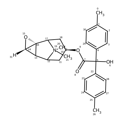 Cc1ccc(C(O)(C(=O)O[C@H]2CC3C4[C@@H]5O[C@]45C(C2)[N+]3(C)C)c2ccc(C)cc2)cc1